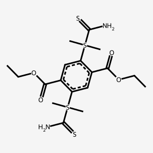 CCOC(=O)c1cc(S(C)(C)C(N)=S)c(C(=O)OCC)cc1S(C)(C)C(N)=S